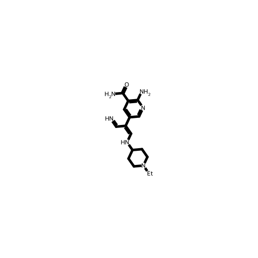 CCN1CCC(N/C=C(\C=N)c2cnc(N)c(C(N)=O)c2)CC1